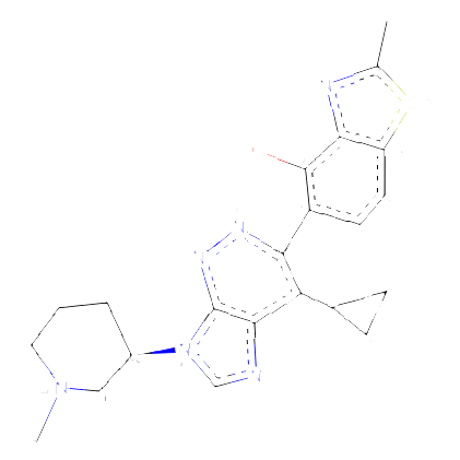 Cc1nc2c(O)c(-c3nnc4c(ncn4[C@@H]4CCCN(C)C4)c3C3CC3)ccc2s1